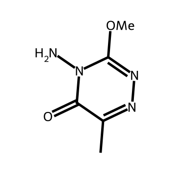 COc1nnc(C)c(=O)n1N